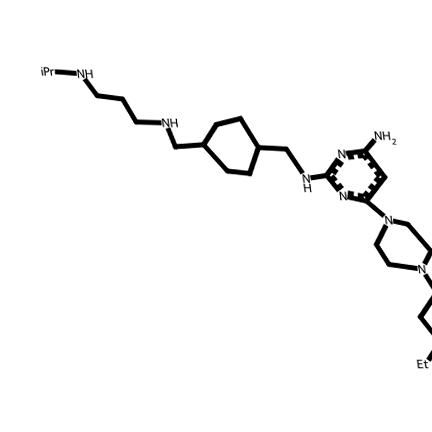 CCOCCN1CCN(c2cc(N)nc(NCC3CCC(CNCCCNC(C)C)CC3)n2)CC1